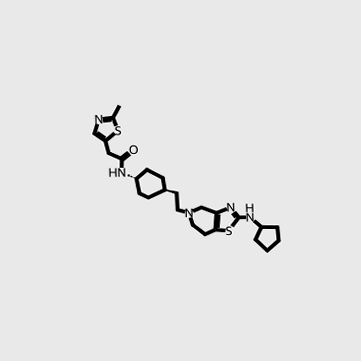 Cc1ncc(CC(=O)N[C@H]2CC[C@H](CCN3CCc4sc(NC5CCCC5)nc4C3)CC2)s1